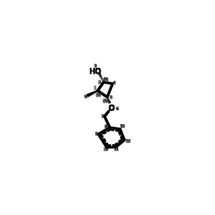 C[C@H]1[C@H](O)C[C@@H]1OCc1ccccc1